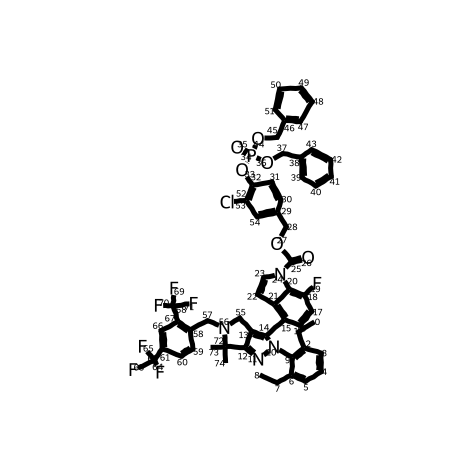 CCc1cccc(CC)c1-n1nc2c(c1-c1ccc(F)c3c1ccn3C(=O)OCc1ccc(OP(=O)(OCc3ccccc3)OCc3ccccc3)c(Cl)c1)CN(Cc1ccc(C(F)(F)F)cc1C(F)(F)F)C2(C)C